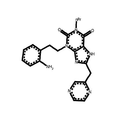 CCCn1c(=O)c2[nH]c(Cc3cnccn3)nc2n(CCc2ccccc2N)c1=O